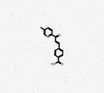 Cc1ccc(C(=O)/C=C/c2ccc(C(=O)O)cc2)nc1